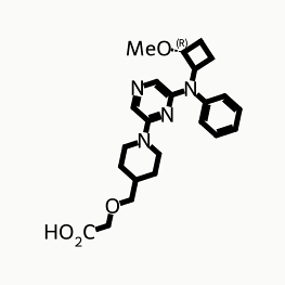 CO[C@@H]1CCC1N(c1ccccc1)c1cncc(N2CCC(COCC(=O)O)CC2)n1